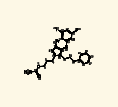 CC(C)c1nc(CCCOC(N)=O)n(CCCc2ccccc2)c1Sc1cc(F)cc(F)c1